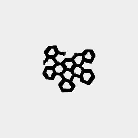 Fc1cccc(F)c1N1c2ccccc2B2c3ccccc3N3c4ccccc4B4c5ccccc5Sc5cc1c2c3c54